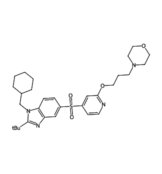 CC(C)(C)c1nc2cc(S(=O)(=O)c3ccnc(OCCCN4CCOCC4)c3)ccc2n1CC1CCCCC1